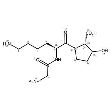 CC(=O)NCC(=O)N[C@@H](CCCCN)C(=O)N1CCC(O)[C@H]1C(=O)O